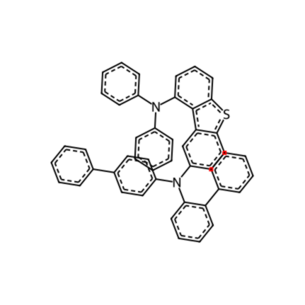 c1ccc(-c2ccc(N(c3ccc4sc5cccc(N(c6ccccc6)c6ccccc6)c5c4c3)c3ccccc3-c3ccccc3)cc2)cc1